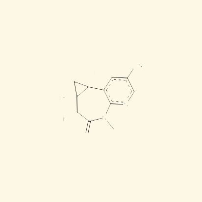 CN1C(=O)[C@H](I)[C@H]2C[C@H]2c2cc(C#N)cnc21